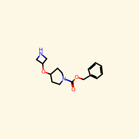 O=C(OCc1ccccc1)N1CCC(OC2CNC2)CC1